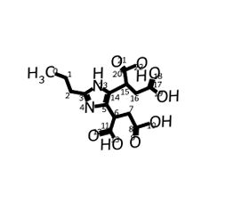 CCCc1nc(C(CC(=O)O)C(=O)O)c(C(CC(=O)O)C(=O)O)[nH]1